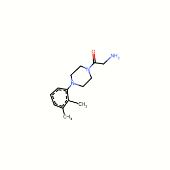 Cc1cccc(N2CCN(C(=O)CN)CC2)c1C